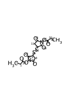 CCC(=O)ON1C(=O)CC(SSC2CC(=O)N(OC(=O)CC)C2=O)C1=O